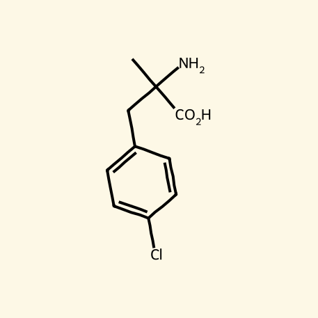 CC(N)(Cc1ccc(Cl)cc1)C(=O)O